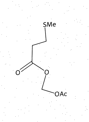 CSCCC(=O)OCOC(C)=O